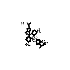 Cc1cc(=O)oc2cc(OP3(=O)c4cc(N(C)C)ccc4C4(SCc5cc(C(C)O)ccc54)c4ccc(N(C)C)cc43)ccc12